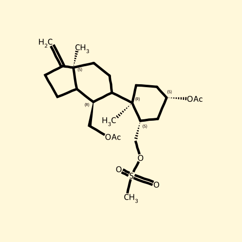 C=C1CCC2[C@H](COC(C)=O)C([C@@]3(C)CC[C@H](OC(C)=O)C[C@@H]3COS(C)(=O)=O)CC[C@]12C